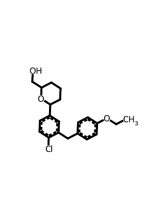 CCOc1ccc(Cc2cc(C3CCCC(CO)O3)ccc2Cl)cc1